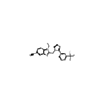 CCn1c(Cn2ccnc2-c2cccc(C(F)(F)F)c2)nc2cc(C#N)ccc21